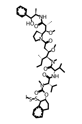 CC[C@H](C)[C@@H]([C@@H](CC(=O)N1CCC[C@H]1[C@H](OC)[C@@H](C)C(=O)N[C@H](C)[C@@H](O)c1ccccc1)OC)N(C)C(=O)[C@@H](NC(=O)[C@H](C(C)C)N(C)C(=O)O[C@@H]1CCc2ccccc2[C@H]1SSI)C(C)C